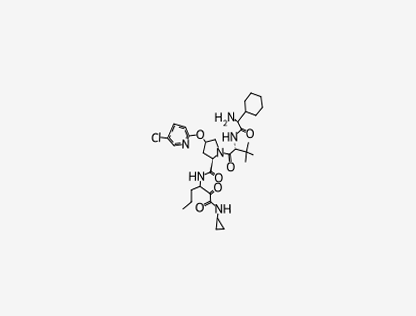 CCCC(NC(=O)[C@H]1CC(Oc2ccc(Cl)cn2)CN1C(=O)[C@H](NC(=O)[C@@H](N)C1CCCCC1)C(C)(C)C)C(=O)C(=O)NC1CC1